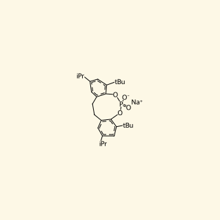 CC(C)c1cc2c(c(C(C)(C)C)c1)OP(=O)([O-])Oc1c(cc(C(C)C)cc1C(C)(C)C)CC2.[Na+]